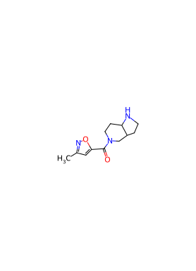 Cc1cc(C(=O)N2CCC3NCCC3C2)on1